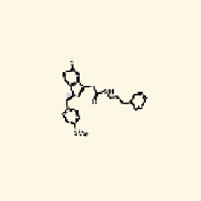 CSc1ccc(/C=C2\C=C(CC(=O)NCCCc3ccccc3)c3cc(F)ccc32)cc1